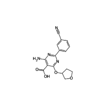 N#Cc1cccc(-c2nc(N)c(C(=O)O)c(OC3CCOC3)n2)c1